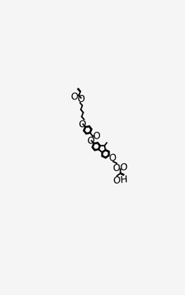 C=CC(=O)OCCCCCCOc1ccc(C(=O)Oc2ccc3c(c2)C(C)c2cc(OCCOC(=O)C(=C)CO)ccc2-3)cc1